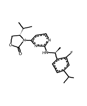 CC(C)c1ccc([C@H](C)Nc2nccc(N3C(=O)OC[C@@H]3C(C)C)n2)c(F)c1